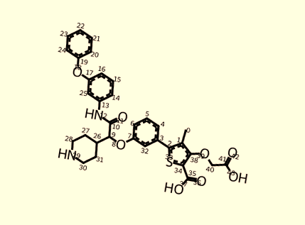 Cc1c(-c2cccc(OC(C(=O)Nc3cccc(Oc4ccccc4)c3)C3CCNCC3)c2)sc(C(=O)O)c1OCC(=O)O